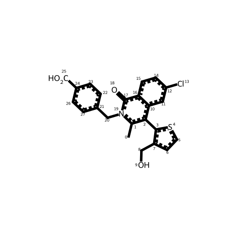 Cc1c(-c2sccc2CO)c2cc(Cl)ccc2c(=O)n1Cc1ccc(C(=O)O)cc1